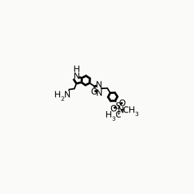 CN(C)S(=O)(=O)c1ccc(Cc2noc(-c3ccc4[nH]cc(CCN)c4c3)n2)cc1